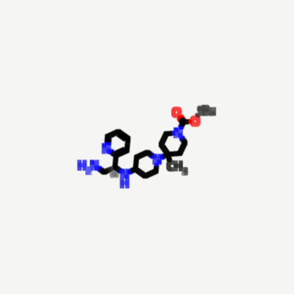 CC(C)(C)OC(=O)N1CCC(C)(N2CCC(N[C@@H](CN)c3ccccn3)CC2)CC1